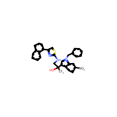 O=[N+]([O-])c1ccc2c(C(O)(CNc3nc(-c4cccc5ccccc45)cs3)C(F)(F)F)cn(Cc3ccccc3)c2c1